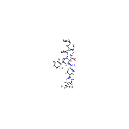 COc1ccc(CN2Cc3nc(-c4c(F)cccc4F)cc(Nc4ccc(N5CCC(C)(C)CC5)cn4)c3C2=O)c(OC)c1